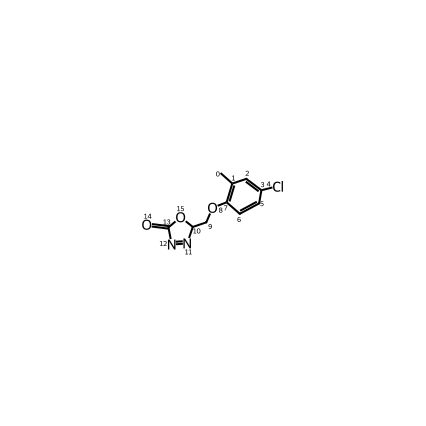 Cc1cc(Cl)ccc1OCC1N=NC(=O)O1